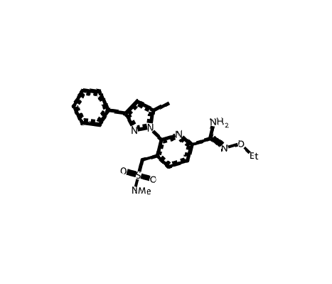 CCO/N=C(\N)c1ccc(CS(=O)(=O)NC)c(-n2nc(-c3ccccc3)cc2C)n1